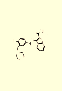 NC(=O)c1oc2cc(Cl)ccc2c1NC(=O)c1ccc(F)c(CN2CCOCC2)c1